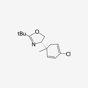 CC(C)(C)C1=N[C@@H](C2(C)C=CC(Cl)=CC2)CO1